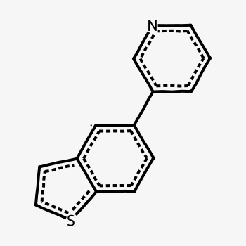 [c]1c(-c2cccnc2)ccc2sccc12